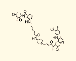 COc1cc2ncnc(Nc3ccc(F)c(Cl)c3)c2cc1NC(=O)C=CCN1CCC(NC(=O)CCCCCCNc2cccc3c2CN(C2CCC(=O)NC2=O)C3=O)CC1